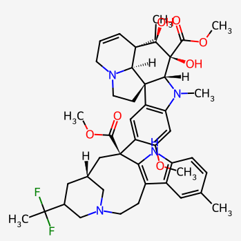 CC[C@]12C=CCN3CC[C@@]4(c5cc([C@@]6(C(=O)OC)C[C@H]7CC(C(C)(F)F)CN(CCc8c6[nH]c6ccc(C)cc86)C7)c(OC)cc5N(C)[C@H]4[C@@](O)(C(=O)OC)[C@@H]1O)[C@@H]32